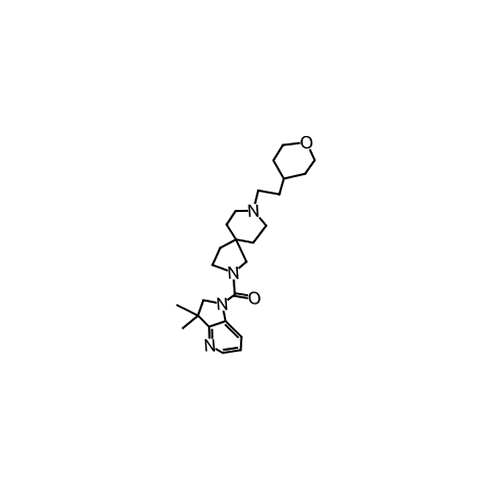 CC1(C)CN(C(=O)N2CCC3(CCN(CCC4CCOCC4)CC3)C2)c2cccnc21